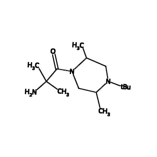 CC1CN(C(C)(C)C)C(C)CN1C(=O)C(C)(C)N